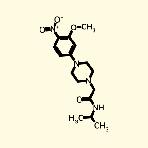 COc1cc(N2CCN(CC(=O)NC(C)C)CC2)ccc1[N+](=O)[O-]